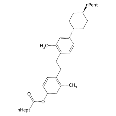 CCCCCCCC(=O)Oc1ccc(CCc2ccc([C@H]3CC[C@H](CCCCC)CC3)cc2C)c(C)c1